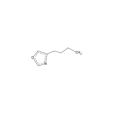 [CH2]CCCc1cocn1